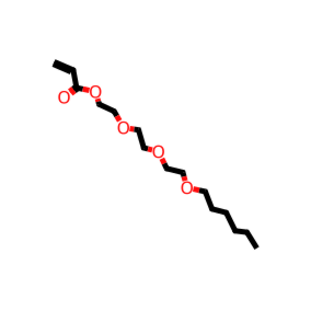 C=CC(=O)OCCOCCOCCOCCCCCC